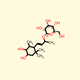 CC(C=CC1C(C)C(O)C(O)CC1(C)C)O[C@@H]1O[C@H](CO)[C@@H](O)[C@H](O)[C@H]1O